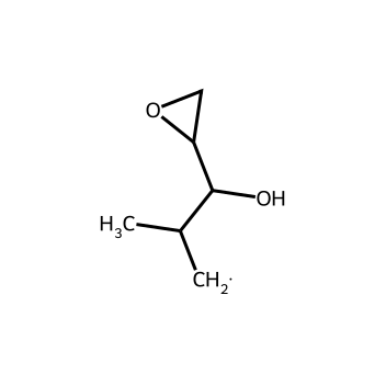 [CH2]C(C)C(O)C1CO1